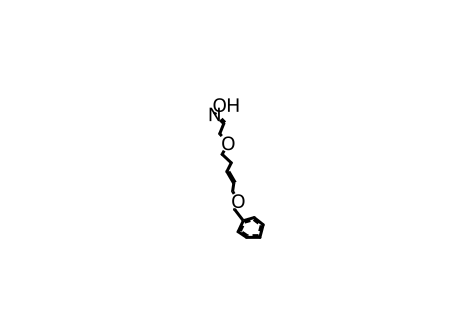 ON=CCOCCC=CCOCc1ccccc1